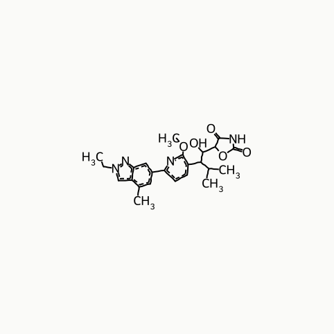 CCn1cc2c(C)cc(-c3ccc(C(C(C)C)C(O)C4OC(=O)NC4=O)c(OC)n3)cc2n1